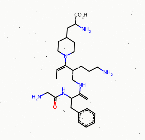 C=C(NCC(CCCN)C(=CC)N1CCC(CC(N)C(=O)O)CC1)C(Cc1ccccc1)NC(=O)CN